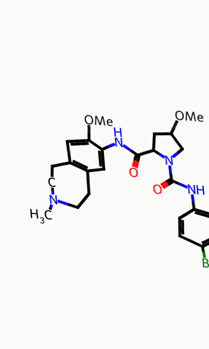 COc1cc2c(cc1NC(=O)C1CC(OC)CN1C(=O)Nc1ccc(Br)cc1)CCN(C)CC2